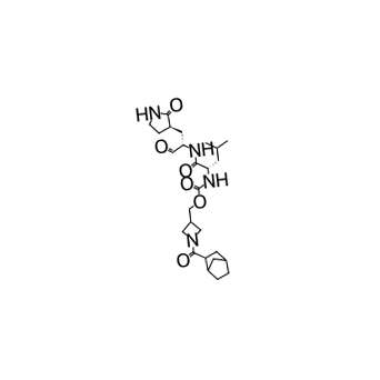 CC(C)C[C@H](NC(=O)OCC1CN(C(=O)C2CC3CCC2C3)C1)C(=O)N[C@H](C=O)C[C@H]1CCNC1=O